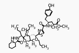 CCCO[C@H](C[C@H](C(C)C)N(CCC)C(=O)[C@@H](NC(=O)[C@H]1CCCCN1)[C@@H](C)CC)c1nc(C(=O)N[C@@H](Cc2ccc(O)cc2)C[C@H](C)C(=O)OC)cs1